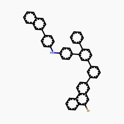 Brc1cc2cc(-c3cccc(-c4ccc(-c5ccccc5)c(-c5ccc(Nc6ccc(-c7ccc8ccccc8c7)cc6)cc5)c4)c3)ccc2c2ccccc12